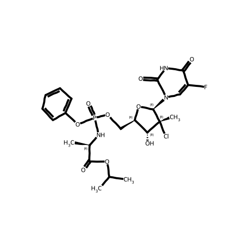 CC(C)OC(=O)[C@@H](C)NP(=O)(OC[C@H]1O[C@@H](n2cc(F)c(=O)[nH]c2=O)[C@](C)(Cl)[C@@H]1O)Oc1ccccc1